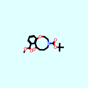 COC(=O)c1cccc2c1C(=O)CCCN(C(=O)OC(C)(C)C)CCO2